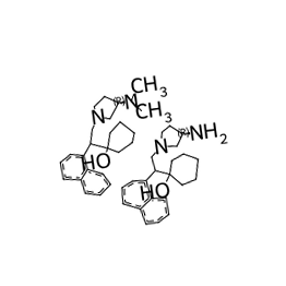 CN(C)[C@@H]1CCN(CC(c2cccc3ccccc23)C2(O)CCCCC2)C1.N[C@@H]1CCN(CC(c2cccc3ccccc23)C2(O)CCCCC2)C1